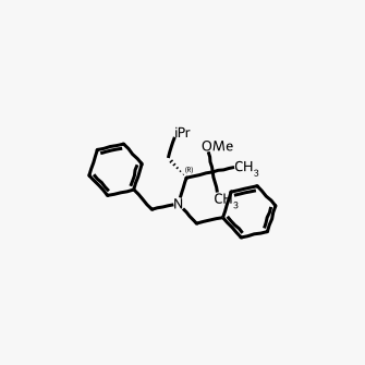 COC(C)(C)[C@@H](CC(C)C)N(Cc1ccccc1)Cc1ccccc1